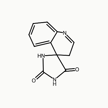 O=C1NC(=O)C2(CC=Nc3ccccc32)N1